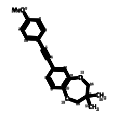 COc1ccc(C#Cc2ccc3c(c2)OCC(C)(C)CO3)cc1